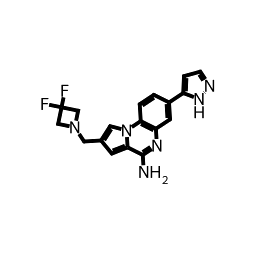 Nc1nc2cc(-c3ccn[nH]3)ccc2n2cc(CN3CC(F)(F)C3)cc12